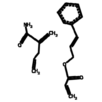 C=CC(=O)OCC=Cc1ccccc1.C=CCC(=C)C(N)=O